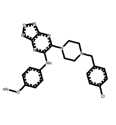 CCCOc1ccc(Nc2nc3nonc3nc2N2CCN(Cc3ccc(Cl)cc3)CC2)cc1